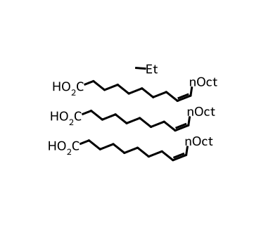 CCC.CCCCCCCC/C=C\CCCCCCCC(=O)O.CCCCCCCC/C=C\CCCCCCCC(=O)O.CCCCCCCC/C=C\CCCCCCCC(=O)O